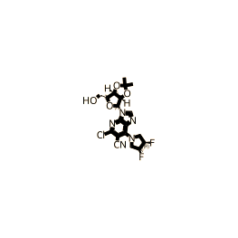 CC1(C)O[C@@H]2[C@H](O1)[C@@H](CO)O[C@H]2n1cnc2c(N3C[C@@H](F)[C@@H](F)C3)c(C#N)c(Cl)nc21